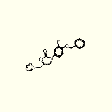 O=C1O[C@@H](Cn2cncn2)CN1c1ccc(OCc2ccccc2)c(F)c1